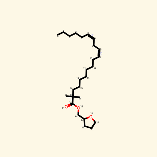 CCCCC/C=C\C/C=C\CCCCCCCC(C)(C)C(=O)OCC1CCCO1